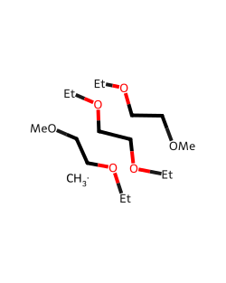 [CH2]COCCOC.[CH2]COCCOCC.[CH2]OCCOCC.[CH3]